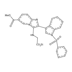 CCOC(=O)CNc1c(-c2cn(S(=O)(=O)c3ccccc3)c3ccccc23)nc2ccc(C(=O)OC)cn12